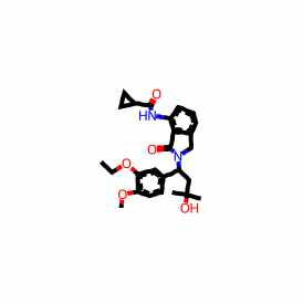 CCOc1cc(C(CC(C)(C)O)N2Cc3cccc(NC(=O)C4CC4)c3C2=O)ccc1OC